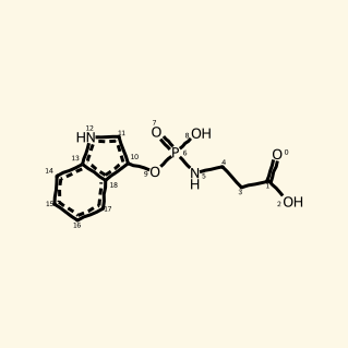 O=C(O)CCNP(=O)(O)Oc1c[nH]c2ccccc12